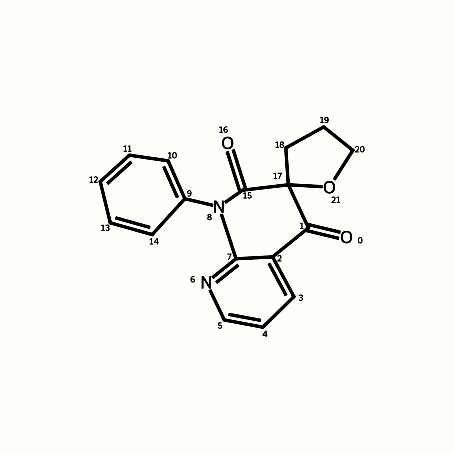 O=C1c2cccnc2N(c2ccccc2)C(=O)C12CCCO2